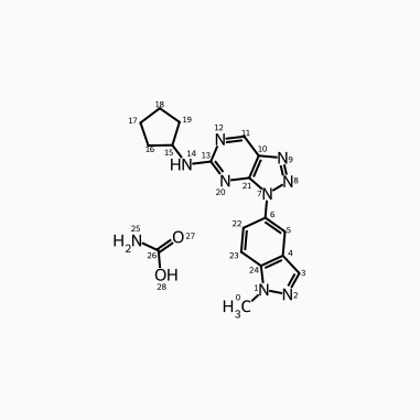 Cn1ncc2cc(-n3nnc4cnc(NC5CCCC5)nc43)ccc21.NC(=O)O